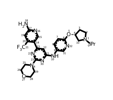 CC(C)N1CC[C@@H](Oc2ccc(Nc3cc(-c4cnc(N)cc4C(F)(F)F)nc(N4CCOCC4)n3)cn2)C1